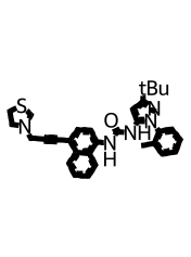 Cc1ccccc1-n1nc(C(C)(C)C)cc1NC(=O)Nc1ccc(C#CCN2CCSC2)c2ccccc12